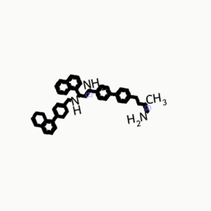 C/C(=C/N)CCc1ccc(-c2ccc(/C(N)=C/C(NCC3=CC=C(c4cccc5c4CCC=C5)CC3)c3cccc4ccccc34)cc2)cc1